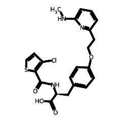 CNc1cccc(CCOc2ccc(C[C@H](NC(=O)c3sccc3Cl)C(=O)O)cc2)n1